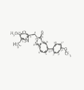 Cc1nc(Cn2nc3ccc(-c4ccc(OC(F)(F)F)cc4)cn3c2=O)oc1C